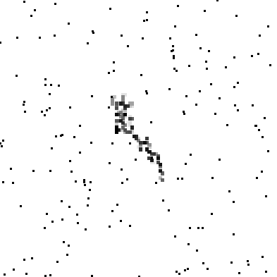 CCCCCc1ccc(-c2cc(C)c(C#Cc3cc(F)c(C(F)(F)Oc4cc(F)c(F)c(F)c4)c(F)c3)c(F)c2)cc1